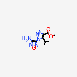 COC(=O)c1nnn(-c2nonc2N)c1C(C)C